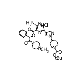 CN1CCN(C(=O)[C@H](OC(=O)c2nc(-c3cnn(C4CCN(C(=O)OC(C)(C)C)CC4)c3)cnc2N)c2ccccc2)CC1.Cl